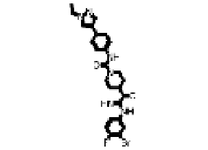 CCn1cc(-c2ccc(NC(=O)N3CCC(C(=O)C(=N)Nc4ccc(F)c(Br)c4)CC3)cc2)cn1